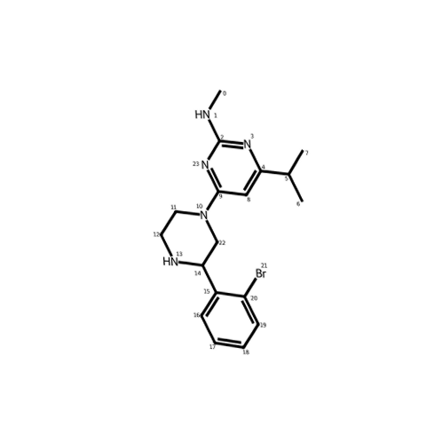 CNc1nc(C(C)C)cc(N2CCNC(c3ccccc3Br)C2)n1